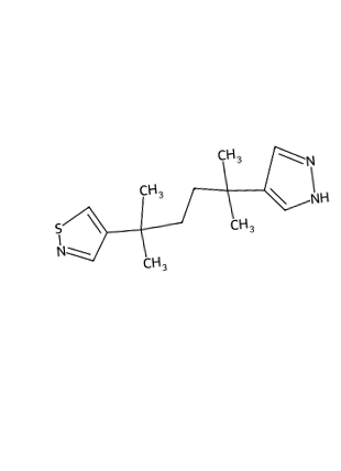 CC(C)(CCC(C)(C)c1cnsc1)c1cn[nH]c1